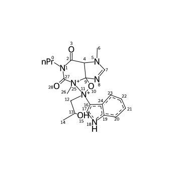 CCCN1C(=O)C2N(C)C=NC23O[N+](CC(C)O)(c2c[nH]c4ccccc24)[N+]3(C)C1=O